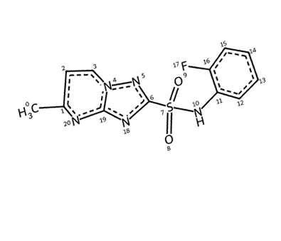 Cc1ccn2nc(S(=O)(=O)Nc3ccccc3F)nc2n1